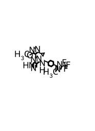 COc1ncnc(C2CC2)c1-c1nc(NCc2ccc(-c3nc(C(F)(F)F)cn3C)cc2)c2cn[nH]c2n1